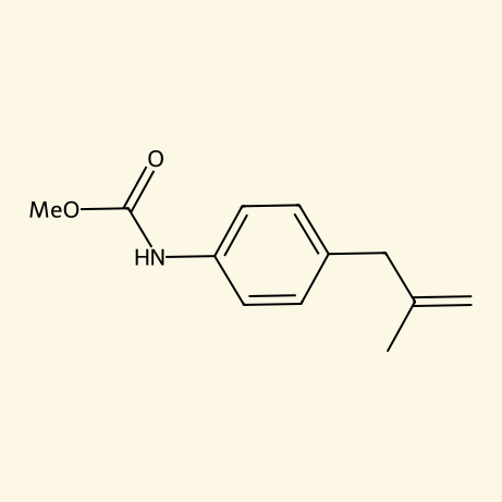 C=C(C)Cc1ccc(NC(=O)OC)cc1